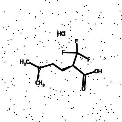 CN(C)CC[C@H](C(=O)O)C(F)(F)F.Cl